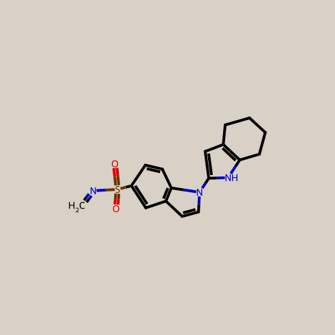 C=NS(=O)(=O)c1ccc2c(ccn2-c2cc3c([nH]2)CCCC3)c1